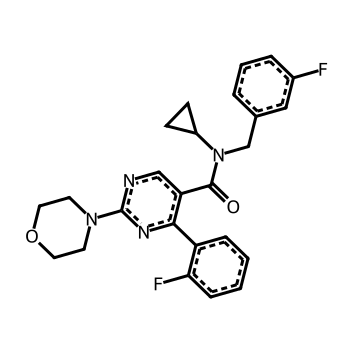 O=C(c1cnc(N2CCOCC2)nc1-c1ccccc1F)N(Cc1cccc(F)c1)C1CC1